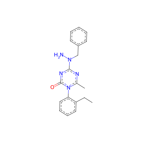 CCc1ccccc1-n1c(C)nc(N(N)Cc2ccccc2)nc1=O